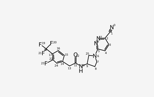 N#Cc1ccc(N2CCC(NC(=O)Cc3ccc(C(F)(F)F)c(F)c3)C2)nn1